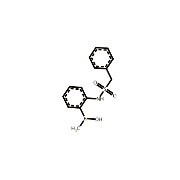 CB(O)c1ccccc1NS(=O)(=O)Cc1ccccc1